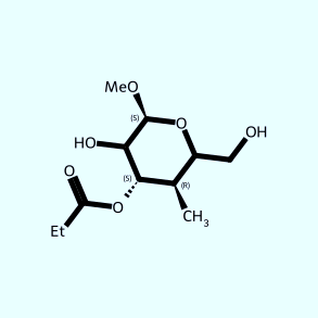 CCC(=O)O[C@@H]1C(O)[C@@H](OC)OC(CO)[C@H]1C